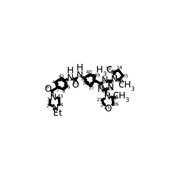 CCN1CCN(C(=O)c2ccc(NC(=O)Nc3ccc(-c4nc(N5CCOC[C@H]5C)nc(N5[C@H](C)CC[C@@H]5C)n4)cc3)cc2)CC1